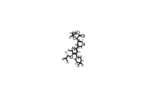 Cc1nc(-c2cncc([C@H](OC(C)(C)C)C(=O)O)c2)cc(N2CCC(C)(C)CC2)c1O[C@@H](C)C(C)C